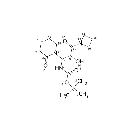 CC(C)(C)OC(=O)NC(C(O)C(=O)N1CCC1)N1CCCCC1=O